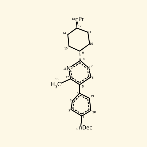 CCCCCCCCCCc1ccc(-c2cnc([C@H]3CC[C@H](CCC)CC3)nc2C)cc1